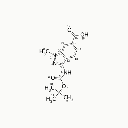 Cn1nc(NC(=O)OC(C)(C)C)c2ccc(C(=O)O)cc21